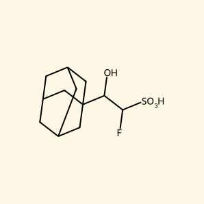 O=S(=O)(O)C(F)C(O)C12CC3CC(CC(C3)C1)C2